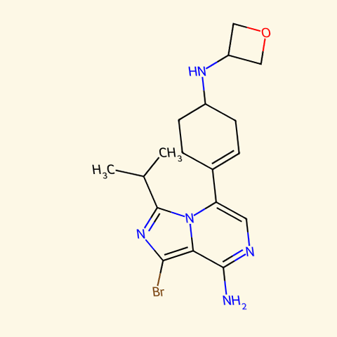 CC(C)c1nc(Br)c2c(N)ncc(C3=CCC(NC4COC4)CC3)n12